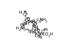 CC(C)C[C@H](NC(=O)[C@H](C)NC(=O)[C@@H]1C/C=C/C[C@H](N)C(=O)N[C@@H](CCCCN)C(=O)N[C@@H](CCCCN)C(=O)N1)C(=O)O